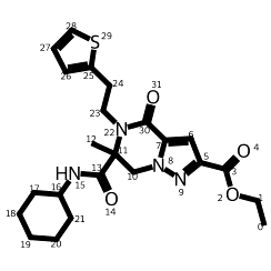 CCOC(=O)c1cc2n(n1)CC(C)(C(=O)NC1CCCCC1)N(CCc1cccs1)C2=O